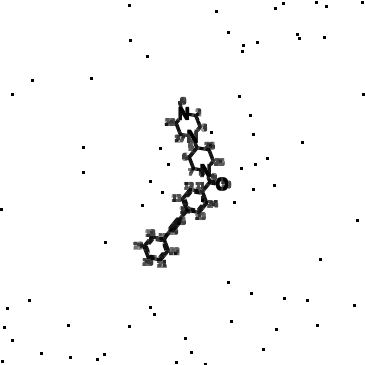 CN1CCN(C2CCN(C(=O)c3ccc(C#Cc4ccccc4)cc3)CC2)CC1